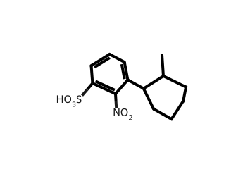 CC1CCCCC1c1cccc(S(=O)(=O)O)c1[N+](=O)[O-]